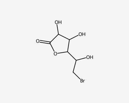 O=C1OC(C(O)CBr)C(O)C1O